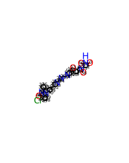 O=C1CC[C@H](N2Cc3c(ccc4c3OCC43CCN(CCN4CC(N5CCC(c6ccc7c(c6)C6(CCCCC6)c6nc(=O)c8c(Cl)cccc8n6-7)CC5)C4)CC3)C2=O)C(=O)N1